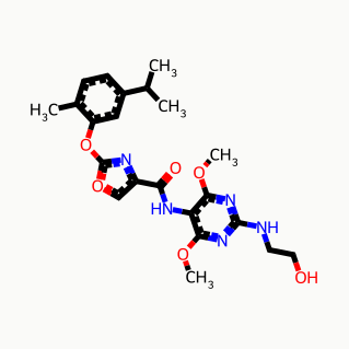 COc1nc(NCCO)nc(OC)c1NC(=O)c1coc(Oc2cc(C(C)C)ccc2C)n1